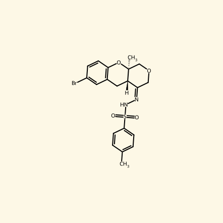 Cc1ccc(S(=O)(=O)N/N=C2/COC[C@]3(C)Oc4ccc(Br)cc4C[C@@H]23)cc1